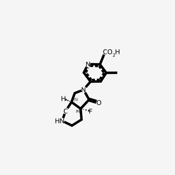 Cc1cc(N2C[C@@H]3CNCC[C@]3(F)C2=O)cnc1C(=O)O